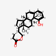 C[C@]12C(O)=CC=CC1=CC[C@H]1[C@H]3CC[C@H]([C@H]4CCC(=O)OC4)[C@@]3(C)CC[C@@H]12